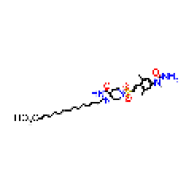 Cc1cc(N(C)C(N)=O)cc(C)c1/C=C/S(=O)(=O)N1CCC2(CC1)N=C(CCCCCCCCCCCCCC(=O)O)NC2=O